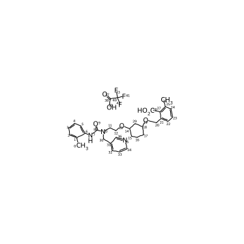 Cc1ccccc1NC(=O)N(CCOC1CCCC(OCc2cccc(C)c2C(=O)O)C1)Cc1cccnc1.O=C(O)C(F)(F)F